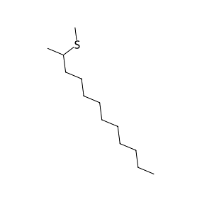 CCCCCCCCCCC(C)SC